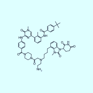 Cc1c(NC(=O)c2ccc(C(C)(C)C)cc2)cccc1-c1cn(C)c(=O)c(Nc2ccc(C(=O)N3CCN(C(=O)CN(CCN)CCCCc4cccc5c4n(C)c(=O)n5C4CCC(=O)NC4=O)CC3)cc2)n1